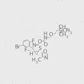 Cc1ncoc1[C@]12C[C@H]1[C@@](CF)(c1cc(Br)ccc1F)N=C(OC(=O)NCOCC[Si](C)(C)C)S2